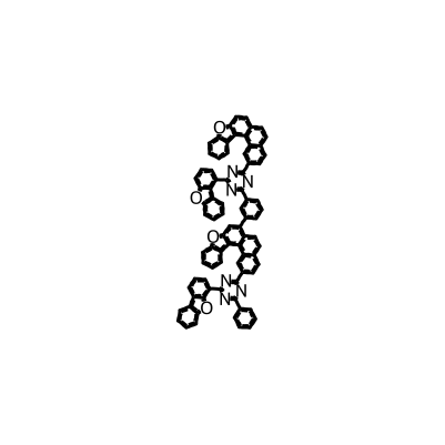 c1ccc(-c2nc(-c3ccc4ccc5c(-c6cccc(-c7nc(-c8ccc9ccc%10ccc%11oc%12ccccc%12c%11c%10c9c8)nc(-c8cccc9oc%10ccccc%10c89)n7)c6)cc6oc7ccccc7c6c5c4c3)nc(-c3cccc4c3oc3ccccc34)n2)cc1